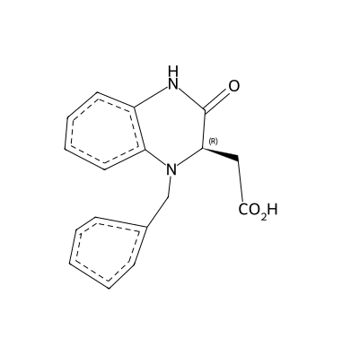 O=C(O)C[C@@H]1C(=O)Nc2ccccc2N1Cc1ccccc1